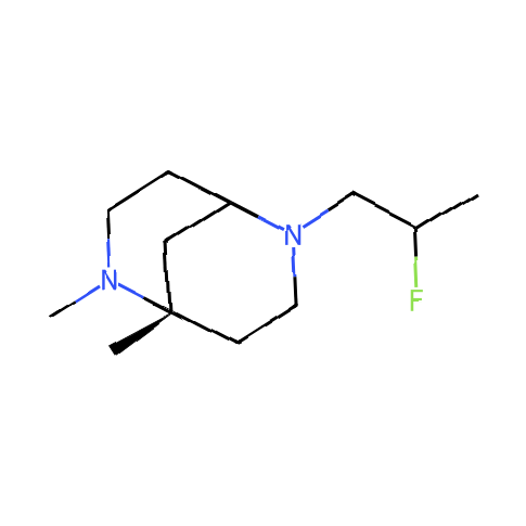 CC(F)CN1CC[C@@]2(C)CC1CCN2C